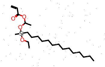 C=CC(=O)OC(C)O[Si](C)(CCCCCCCCCCCCCC)OCC